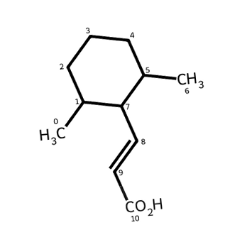 CC1CCCC(C)C1C=CC(=O)O